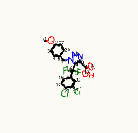 COc1ccc(Cn2nnc(C(=O)O)c2C(F)(F)c2ccc(Cl)c(Cl)c2)cc1